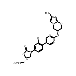 CC(=O)NC[C@H]1CN(c2ccc(-c3cnc(O[C@@H]4COc5nc([N+](=O)[O-])cn5C4)nc3)c(F)c2)C(=O)O1